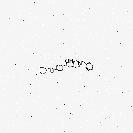 OC(CC1CCN(Cc2ccccc2)CC1)c1ccc(OCC2CCCCC2)cc1